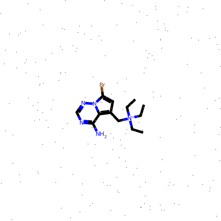 CC[N+](CC)(CC)Cc1cc(Br)n2ncnc(N)c12